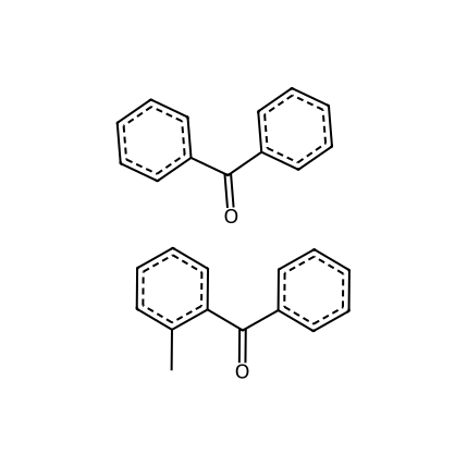 Cc1ccccc1C(=O)c1ccccc1.O=C(c1ccccc1)c1ccccc1